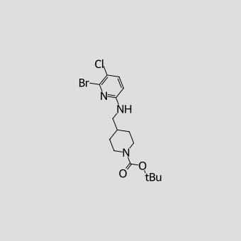 CC(C)(C)OC(=O)N1CCC(CNc2ccc(Cl)c(Br)n2)CC1